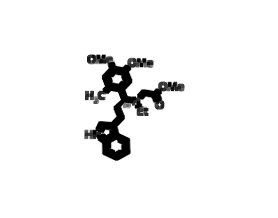 CCN(CC(=O)OC)[C@@H](CCc1c[nH]c2ccccc12)c1cc(OC)c(OC)cc1C